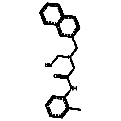 Cc1ccccc1NC(=O)CN(Cc1ccc2ccccc2c1)CC(C)(C)C